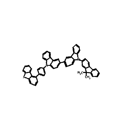 CC1(C)c2ccccc2-c2ccc(-n3c4ccccc4c4cc(-c5ccc6c(c5)c5ccccc5n6-c5ccc(-c6cccc7sc8ccccc8c67)cc5)ccc43)cc21